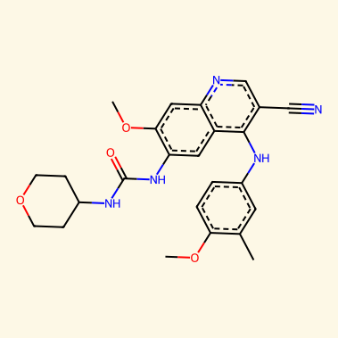 COc1ccc(Nc2c(C#N)cnc3cc(OC)c(NC(=O)NC4CCOCC4)cc23)cc1C